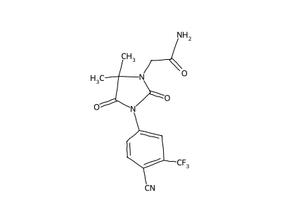 CC1(C)C(=O)N(c2ccc(C#N)c(C(F)(F)F)c2)C(=O)N1CC(N)=O